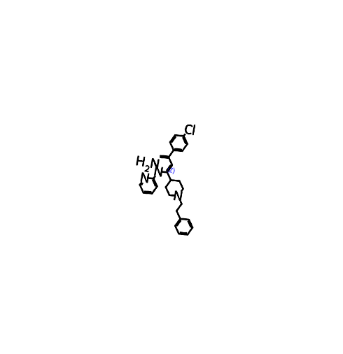 C=C(/C=C(/C1CCN(CCc2ccccc2)CC1)N(N)c1ccccn1)c1ccc(Cl)cc1